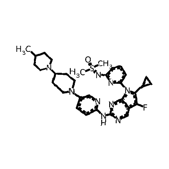 CC1CCN(C2CCN(c3ccc(Nc4ncc5c(F)c(C6CC6)n(-c6cccc(N=S(C)(C)=O)n6)c5n4)nc3)CC2)CC1